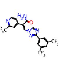 NC(=O)/C(=C\n1cnc(-c2cc(C(F)(F)F)cc(C(F)(F)F)c2)n1)c1ccnc(C(F)(F)F)c1